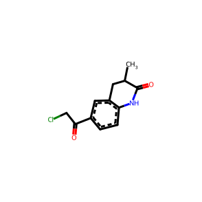 CC1Cc2cc(C(=O)CCl)ccc2NC1=O